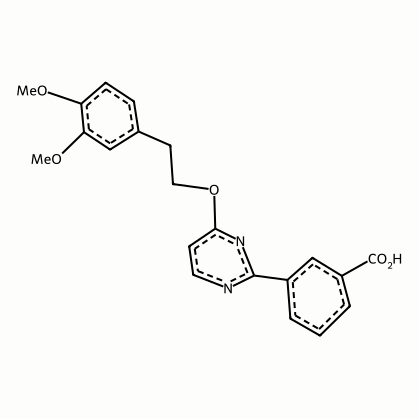 COc1ccc(CCOc2ccnc(-c3cccc(C(=O)O)c3)n2)cc1OC